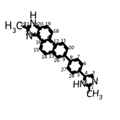 Cc1ncc(-c2ccc(-c3ccc4c(ccc5c4ccc4[nH]c(C)nc45)c3)cc2)[nH]1